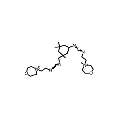 CC1(C)CC(N=C=NCC[N+]2(C)CCOCC2)CC(C)(CN=C=NCC[N+]2(C)CCOCC2)C1